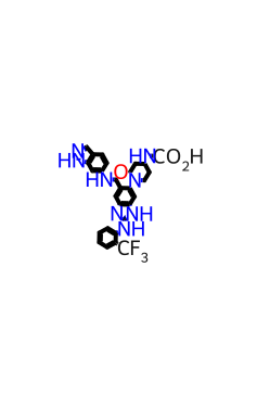 O=C(O)NC1CCN(c2cc3[nH]c(Nc4ccccc4C(F)(F)F)nc3cc2C(=O)Nc2ccc3cn[nH]c3c2)CC1